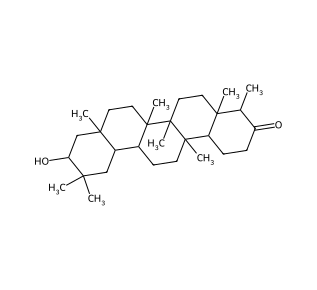 CC1C(=O)CCC2C1(C)CCC1(C)C3(C)CCC4(C)CC(O)C(C)(C)CC4C3CCC21C